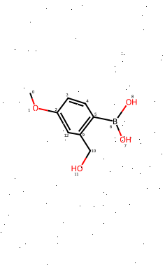 COc1ccc(B(O)O)c(CO)c1